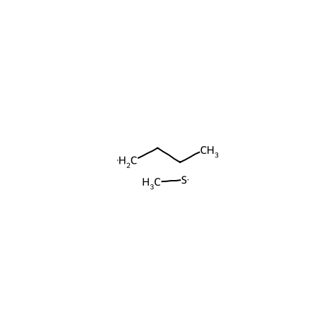 C[S].[CH2]CCC